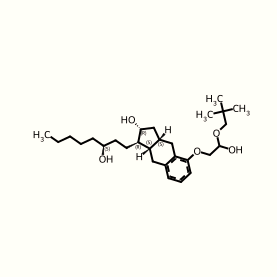 CCCCC[C@H](O)CC[C@@H]1[C@H]2Cc3cccc(OCC(O)OCC(C)(C)C)c3C[C@H]2C[C@H]1O